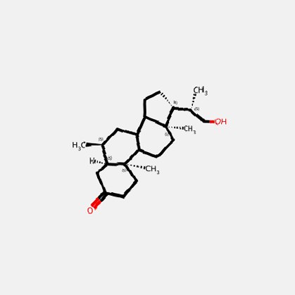 C[C@H](CO)[C@H]1CCC2C3C[C@H](C)[C@@H]4CC(=O)CC[C@]4(C)C3CC[C@@]21C